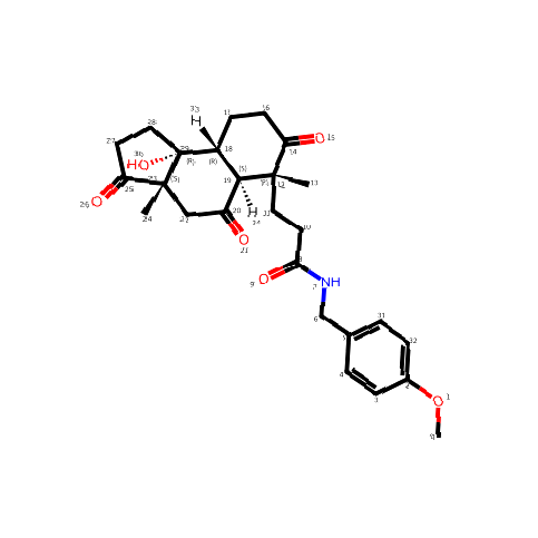 COc1ccc(CNC(=O)CC[C@@]2(C)C(=O)CC[C@@H]3[C@@H]2C(=O)C[C@]2(C)C(=O)CC[C@@]32O)cc1